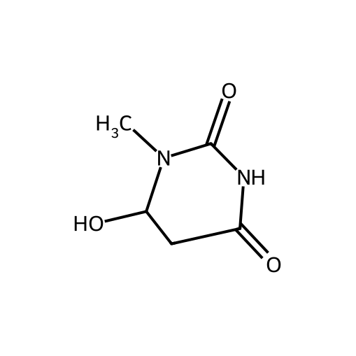 CN1C(=O)NC(=O)CC1O